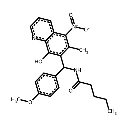 CCCCC(=O)NC(c1ccc(OC)cc1)c1c(C)c([N+](=O)[O-])c2cccnc2c1O